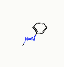 CN=Nc1ccccc1